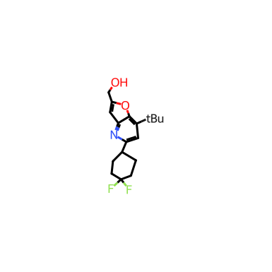 CC(C)(C)c1cc(C2CCC(F)(F)CC2)nc2cc(CO)oc12